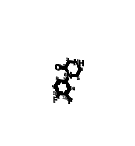 O=C1CNCCN1c1ccc(F)c(F)c1